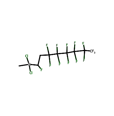 C[Si](Cl)(Cl)C(F)CC(F)(F)C(F)(F)C(F)(F)C(F)(F)C(F)(F)C(F)(F)F